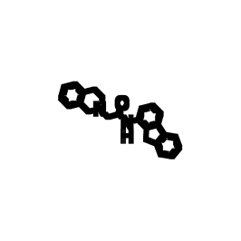 O=C(CN1CCc2ccccc2C1)Nc1cccc2c1Cc1ccccc1-2